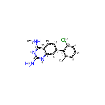 CNc1nc(N)nc2cc(-c3c(C)cccc3Cl)ccc12